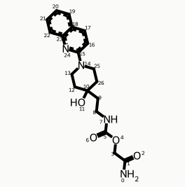 NC(=O)COC(=O)NCCC1(O)CCN(c2ccc3ccccc3n2)CC1